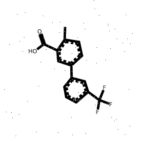 Cc1ccc(-c2cccc(C(F)(F)F)c2)cc1C(=O)O